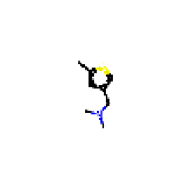 Cc1cc(CN(C)C)cs1